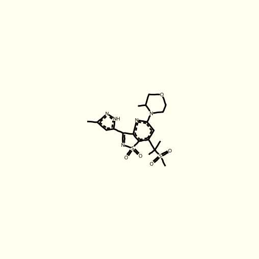 Cc1cc(C2=NS(=O)(=O)c3c(C(C)(C)S(C)(=O)=O)cc(N4CCOCC4C)nc32)[nH]n1